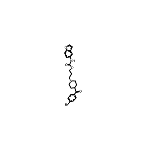 O=C(Nc1ccc2occc2c1)OCCCN1CCC(C(=O)c2ccc(Br)cc2)CC1